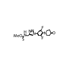 COC(=S)NCc1cn(-c2cc(F)c(N3CCC(=O)CC3)c(F)c2)nn1